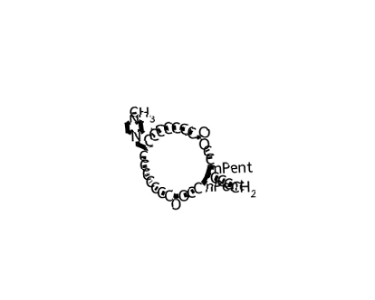 C=C=C=C=C1C(CCCCC)CCOC(=O)CCCCCCCC(CN2CCN(C)CC2)CCCCCCCC(=O)OCCC1CCCCC